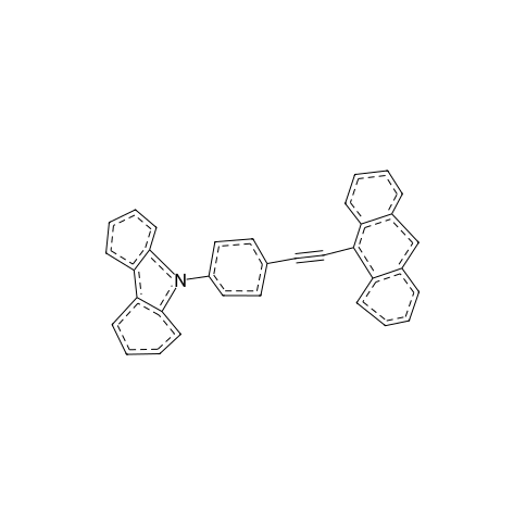 C(#Cc1c2ccccc2cc2ccccc12)c1ccc(-n2c3ccccc3c3ccccc32)cc1